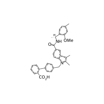 COc1cc(C)ccc1[C@@H](C)NC(=O)c1ccc2c(c1)c(C)c(C)n2Cc1ccc(-c2ccccc2C(=O)O)cc1